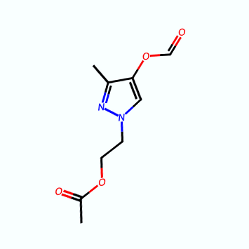 CC(=O)OCCn1cc(OC=O)c(C)n1